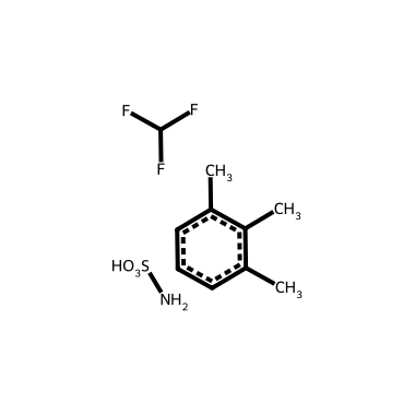 Cc1cccc(C)c1C.FC(F)F.NS(=O)(=O)O